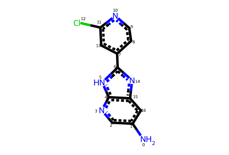 Nc1cnc2[nH]c(-c3ccnc(Cl)c3)nc2c1